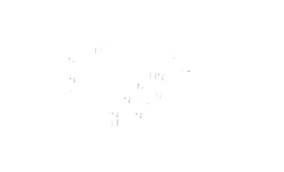 CN1CCN(C(=O)[C@H]2CC[C@H](Nc3ncc4nc(Nc5ccc(F)cc5F)n([C@H]5CC[C@@H](O)CC5)c4n3)CC2)CC1